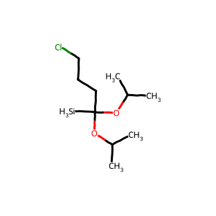 CC(C)OC([SiH3])(CCCCl)OC(C)C